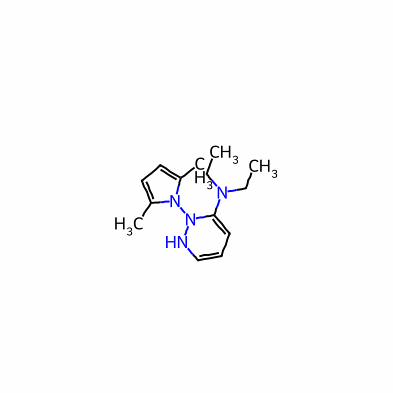 CCN(CC)C1=CC=CNN1n1c(C)ccc1C